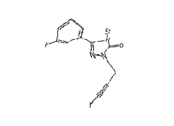 CCn1c(-c2cccc(F)c2)nn(CC#CI)c1=O